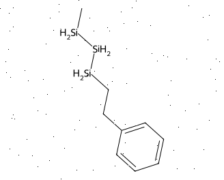 C[SiH2][SiH2][SiH2]CCc1ccccc1